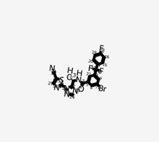 C[C@H](NC(=O)c1cc(Br)cc(C(F)(F)c2ccc(F)cc2)c1)c1ncnn1-c1ncc(C#N)s1